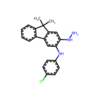 CC1(C)c2ccccc2-c2cc(Nc3ccc(Cl)cc3)c(NN)cc21